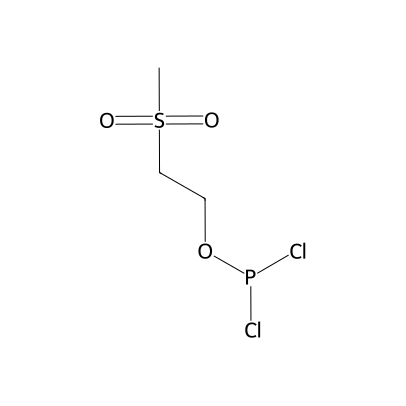 CS(=O)(=O)CCOP(Cl)Cl